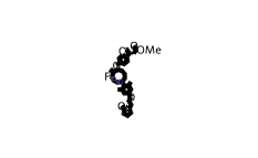 C=C1/C(F)=C\C=C(\c2c(C)cc(OCCN3CCCC3=O)cc2C)CCC[C@H]1Oc1ccc2c(c1)OC[C@H]2CC(=O)OC